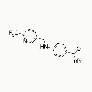 CCCC(=O)c1ccc(NCc2ccc(C(F)(F)F)nc2)cc1